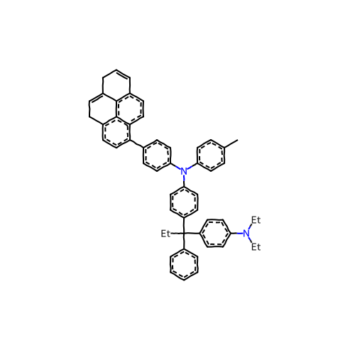 CCN(CC)c1ccc(C(CC)(c2ccccc2)c2ccc(N(c3ccc(C)cc3)c3ccc(-c4ccc5c6c7c(ccc46)C=CCC7=CC5)cc3)cc2)cc1